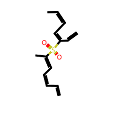 C=C/C=C\C=C(/C)S(=O)(=O)/C(C=C)=C/C=C\C